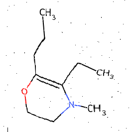 CCCC1=C(CC)N(C)CCO1